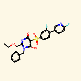 CCOCc1nc(=O)c(S(=O)(=O)c2ccc(-c3ccc(F)nc3)c(F)c2)c(O)n1Cc1ccccc1